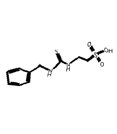 O=S(=O)(O)CCNC(=S)NCc1ccccc1